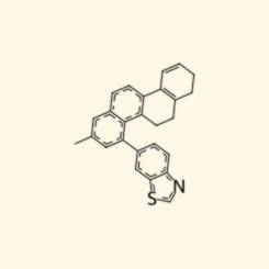 Cc1cc(-c2ccc3ncsc3c2)c2c3c(ccc2c1)C1=C(CCC=C1)CC3